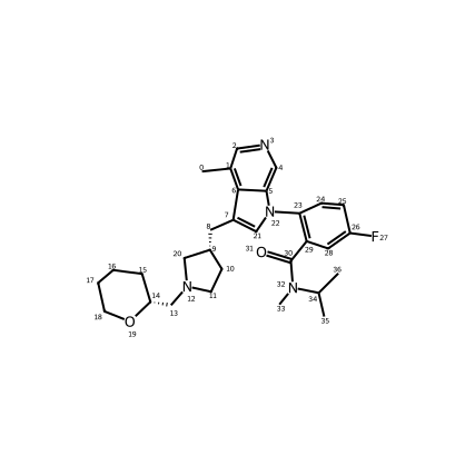 Cc1cncc2c1c(C[C@@H]1CCN(C[C@H]3CCCCO3)C1)cn2-c1ccc(F)cc1C(=O)N(C)C(C)C